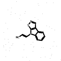 N#CC=Cn1c2ccccc2c2cnsc21